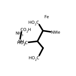 CNC(C(=O)O)C(CC(=O)O)C(=O)O.N.NC(=O)O.[Fe]